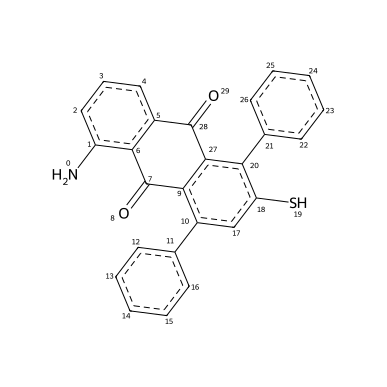 Nc1cccc2c1C(=O)c1c(-c3ccccc3)cc(S)c(-c3ccccc3)c1C2=O